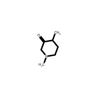 CC1CCN(C)CC1=O